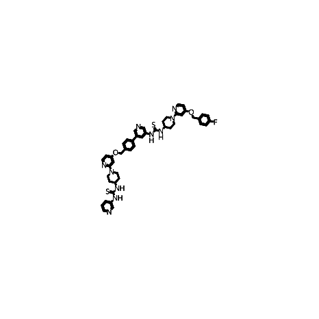 Fc1ccc(COc2ccnc(N3CCC(NC(=S)Nc4cncc(-c5ccc(COc6ccnc(N7CCC(NC(=S)Nc8cccnc8)CC7)c6)cc5)c4)CC3)c2)cc1